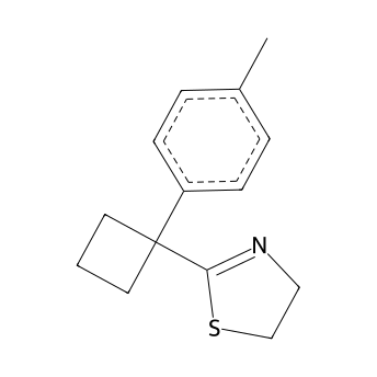 Cc1ccc(C2(C3=NCCS3)CCC2)cc1